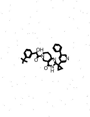 CC(C)(C)c1cccc(C(O)C(=O)N2CCCc3nc(C4(c5cncc(-c6ccccc6)c5)CC4)[nH]c(=O)c3C2)c1